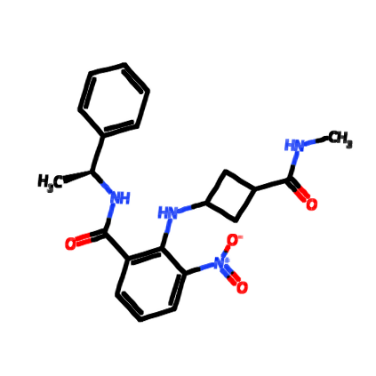 CNC(=O)C1CC(Nc2c(C(=O)N[C@@H](C)c3ccccc3)cccc2[N+](=O)[O-])C1